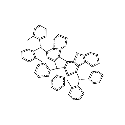 Cc1ccccc1N(c1ccccc1C)c1cc2c(c3ccccc13)-c1c(cc(N(c3ccccc3)c3ccccc3C)c3c1sc1ccccc13)C2(c1ccccc1)c1ccccc1